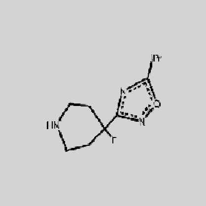 CC(C)c1nc(C2(F)CCNCC2)no1